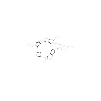 COc1ccc2cc1Oc1ccc(cc1)C[C@H]1c3cc(c(OC)cc3CCN1C)Oc1c(OCC(O)CN3CCCC(C)C3)c(OC)cc3c1[C@H](C2)N(C)CC3